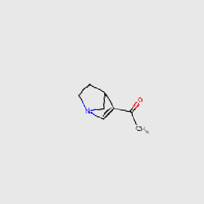 CC(=O)C1=CN2CCC1C2